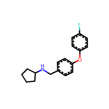 Fc1ccc(Oc2ccc(CNC3CCCC3)cc2)cc1